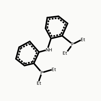 CCP(CC)c1ccccc1Nc1ccccc1P(CC)CC